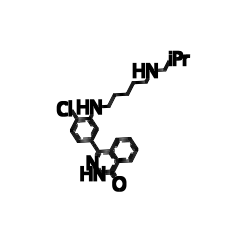 CC(C)CNCCCCCNc1cc(-c2n[nH]c(=O)c3ccccc23)ccc1Cl